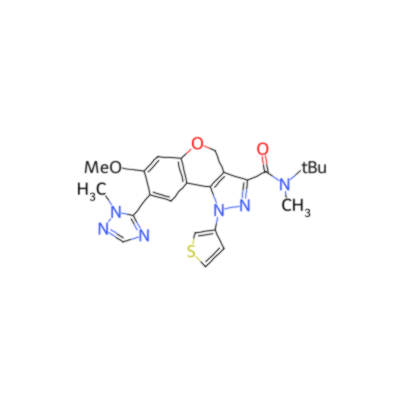 COc1cc2c(cc1-c1ncnn1C)-c1c(c(C(=O)N(C)C(C)(C)C)nn1-c1ccsc1)CO2